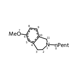 CCCCCN1CCc2cc(OC)ccc2C1